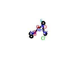 O=C(CCN(C(=O)CCC[n+]1ccccc1)c1cccc(F)c1)NCCOC(=O)C1NCCc2ccccc21.[Cl-]